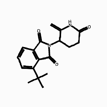 C=C1NC(=O)CCC1N1C(=O)c2cccc(C(C)(C)C)c2C1=O